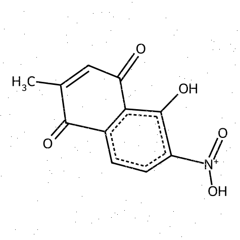 CC1=CC(=O)c2c(ccc([N+](=O)O)c2O)C1=O